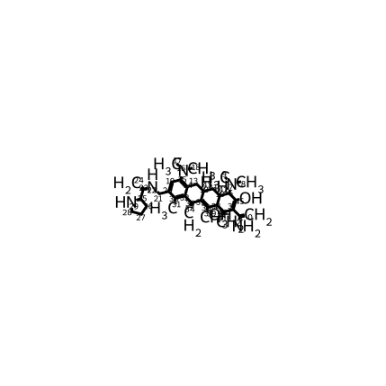 C=C(N)C1=C(O)C(N(C)C)[C@@H]2C[C@@H]3Cc4c(N(C)C)cc(CNC(=C)C5CCCN5)c(C)c4C(=C)C3=C(C)[C@]2(O)C1=C